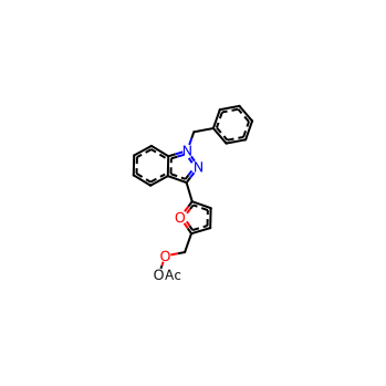 CC(=O)OOCc1ccc(-c2nn(Cc3ccccc3)c3ccccc23)o1